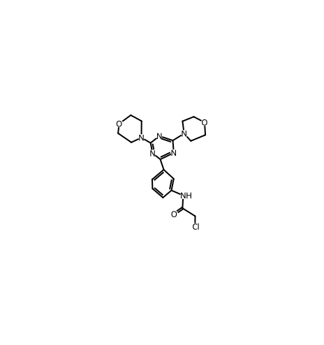 O=C(CCl)Nc1cccc(-c2nc(N3CCOCC3)nc(N3CCOCC3)n2)c1